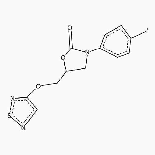 O=C1OC(COc2cnsn2)CN1c1ccc(I)cc1